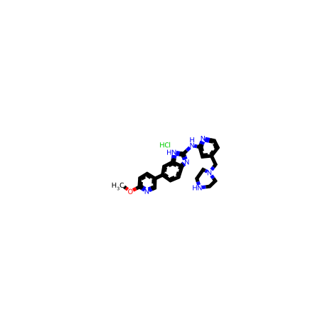 COc1ccc(-c2ccc3nc(Nc4cc(CN5CCNCC5)ccn4)[nH]c3c2)cn1.Cl